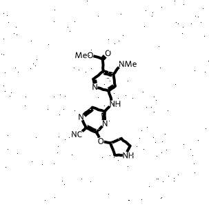 CNc1cc(Nc2cnc(C#N)c(OC3CCNC3)n2)ncc1C(=O)OC